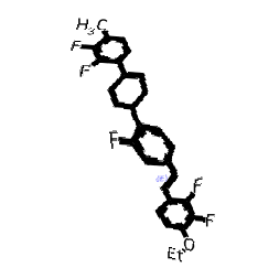 CCOc1ccc(/C=C/c2ccc(C3CCC(c4ccc(C)c(F)c4F)CC3)c(F)c2)c(F)c1F